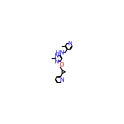 Cc1nc(NCc2ccncc2C)cc(OCC2CC2c2ccccn2)n1